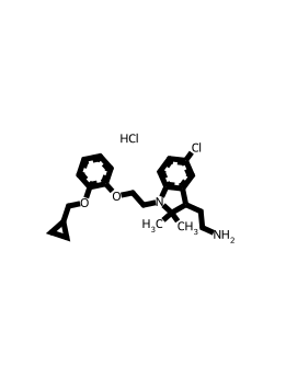 CC1(C)C(CCN)c2cc(Cl)ccc2N1CCOc1ccccc1OCC1CC1.Cl